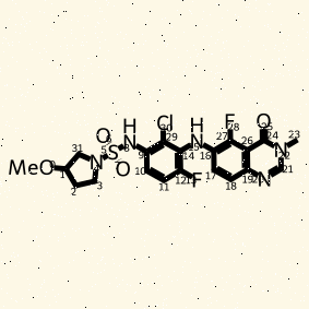 COC1CCN(S(=O)(=O)Nc2ccc(F)c(Nc3ccc4ncn(C)c(=O)c4c3F)c2Cl)C1